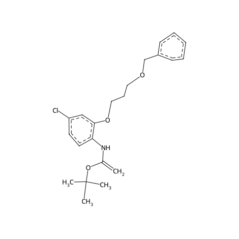 C=C(Nc1ccc(Cl)cc1OCCCOCc1ccccc1)OC(C)(C)C